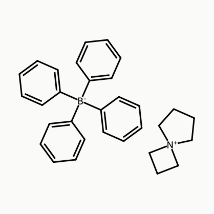 C1CC[N+]2(C1)CCC2.c1ccc([B-](c2ccccc2)(c2ccccc2)c2ccccc2)cc1